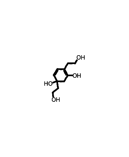 OCCC1=C(O)CC(O)(CCO)C=C1